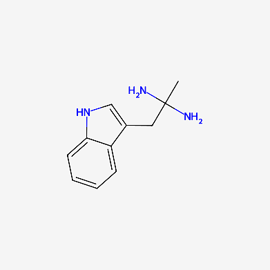 CC(N)(N)Cc1c[nH]c2ccccc12